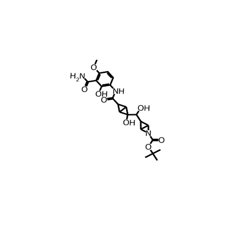 COc1ccc(NC(=O)C2C3C2C3(O)C(O)C2C3C2N3C(=O)OC(C)(C)C)c(O)c1C(N)=O